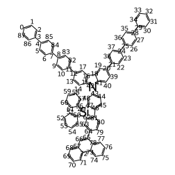 c1ccc(-c2ccc(-c3ccc(-c4ccc5c(c4)c4cc(-c6ccc(-c7ccc(-c8ccccc8)cc7)cc6)ccc4n5-c4ccc5c(c4)[Si](c4ccccc4)(c4ccccc4)c4cc(-c6cc7ccccc7c7ccccc67)ccc4-5)cc3)cc2)cc1